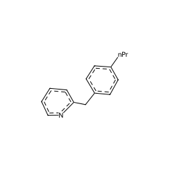 CCCc1ccc(Cc2ccccn2)cc1